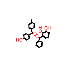 Cc1ccc(C(=O)c2ccc(O)cc2)cc1.O=C(c1ccccc1)c1cccc(O)c1O